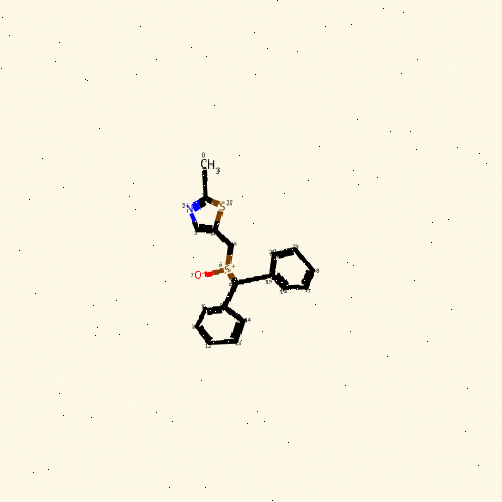 Cc1ncc(C[S+]([O-])C(c2ccccc2)c2ccccc2)s1